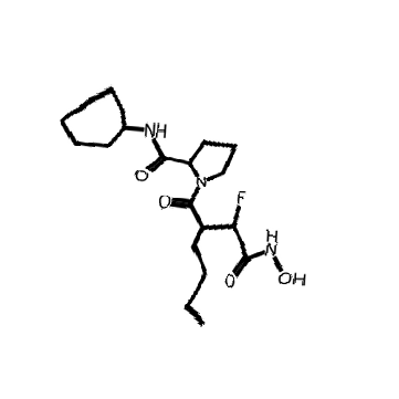 CCCCC(C(=O)N1CCCC1C(=O)NC1CCCCC1)C(F)C(=O)NO